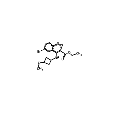 CCOC(=O)c1nnc2ccc(Br)cc2c1NC1CC(OC)C1